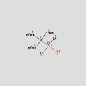 CCCCCCCCCC(CCCCCCCC)(CCCCCCCC)[PH](O)(CC)CC